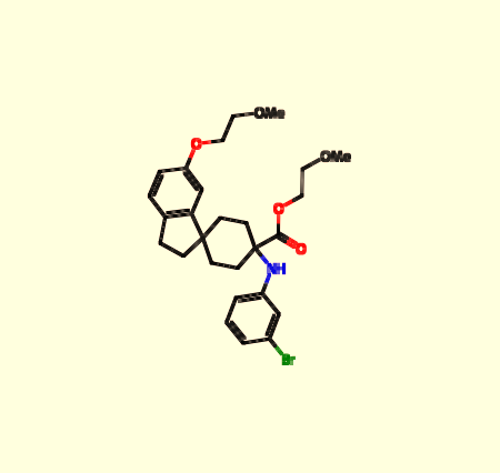 COCCOC(=O)C1(Nc2cccc(Br)c2)CCC2(CCc3ccc(OCCOC)cc32)CC1